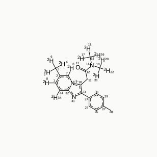 [2H]c1c(C([2H])([2H])[2H])c([2H])n2c(CC(=O)N(C([2H])([2H])[2H])C([2H])([2H])[2H])c(-c3ccc(C)cc3)nc2c1[2H]